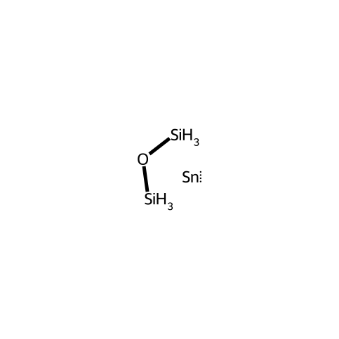 [SiH3]O[SiH3].[Sn]